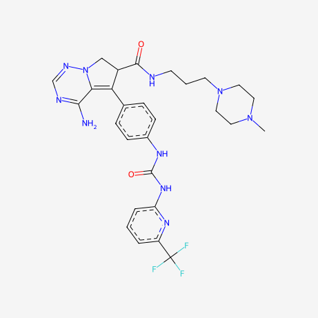 CN1CCN(CCCNC(=O)C2CN3N=CN=C(N)C3=C2c2ccc(NC(=O)Nc3cccc(C(F)(F)F)n3)cc2)CC1